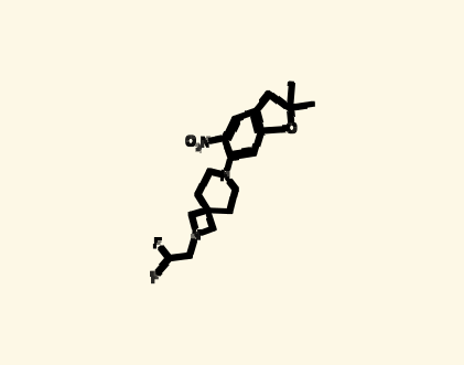 CC1(C)Cc2cc([N+](=O)[O-])c(N3CCC4(CC3)CN(CC(F)F)C4)cc2O1